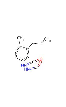 C=CCc1ccccc1C.N=C=O.N=C=O